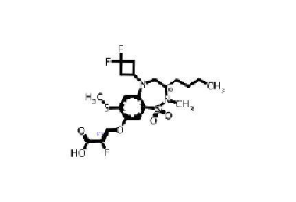 CCCC[C@@H]1CN(C2CC(F)(F)C2)c2cc(SC)c(O/C=C(\F)C(=O)O)cc2S(=O)(=O)N1C